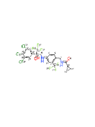 O=C(NCc1ccc(NCC(O)(c2cc(Cl)c(Cl)c(Cl)c2)C(F)(F)F)cc1C(F)(F)F)C1CC1